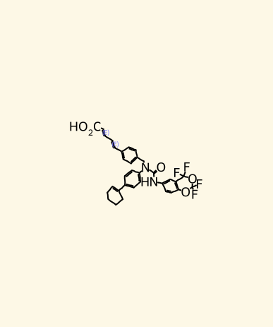 O=C(O)/C=C/C=C/c1ccc(CN(C(=O)Nc2ccc3c(c2)C(F)(F)OC(F)(F)O3)c2ccc(C3=CCCCC3)cc2)cc1